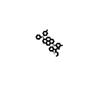 C=Cc1c(/C=C\C)sc2cccc(N(c3ccc(C)cc3)c3ccc4ccc5c(N(c6ccccc6)c6ccc(C)cc6)ccc6ccc3c4c65)c12